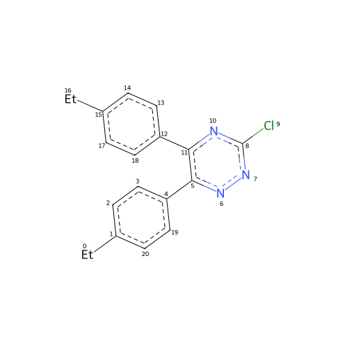 CCc1ccc(-c2nnc(Cl)nc2-c2ccc(CC)cc2)cc1